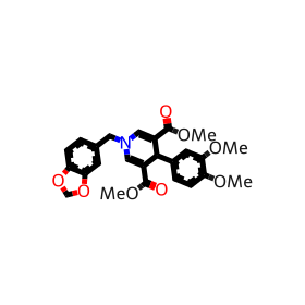 COC(=O)C1=CN(Cc2ccc3c(c2)OCO3)C=C(C(=O)OC)C1c1ccc(OC)c(OC)c1